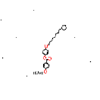 CCCCCCCCCCOc1ccc(C(=O)Oc2ccc(OCCCCCCCCC3CCCC3)cc2)cc1